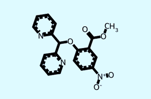 COC(=O)c1cc([N+](=O)[O-])ccc1OC(c1ccccn1)c1ccccn1